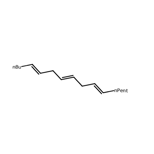 [CH2]CCC/C=C/C/C=C/C/C=C/CCCCC